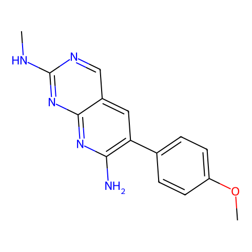 CNc1ncc2cc(-c3ccc(OC)cc3)c(N)nc2n1